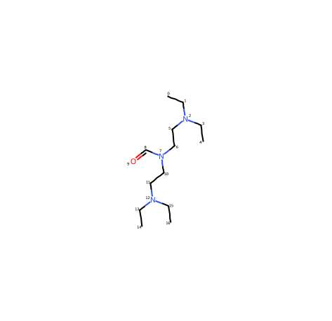 CCN(CC)CCN(C=O)CCN(CC)CC